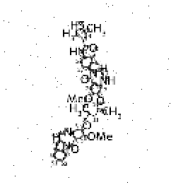 COc1cc2c(cc1OCC(C)CC(C)COc1cc3c(cc1OC)C(=O)N1c4ccc(NC(=O)CCC(C)(C)S)cc4C[C@H]1CN3)N=C[C@@H]1Cc3ccccc3N1C2=O